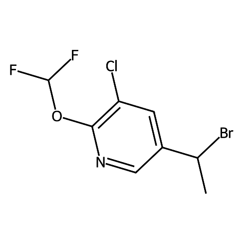 CC(Br)c1cnc(OC(F)F)c(Cl)c1